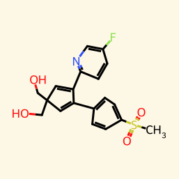 CS(=O)(=O)c1ccc(C2=CC(CO)(CO)C=C2c2ccc(F)cn2)cc1